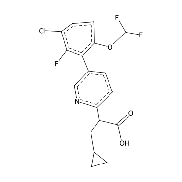 O=C(O)C(CC1CC1)c1ccc(-c2c(OC(F)F)ccc(Cl)c2F)cn1